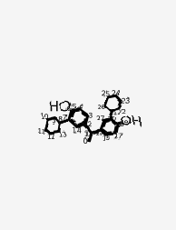 CC(c1ccc(O)c(C2CCCCC2)c1)c1ccc(O)c(C2CCCCC2)c1